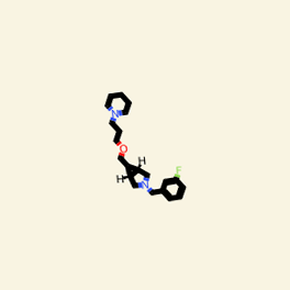 Fc1cccc(CN2C[C@@H]3C(COCCCN4CCCCC4)[C@@H]3C2)c1